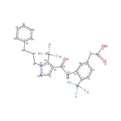 O=C(O)Cc1ccc(C(F)(F)F)c(NC(=O)c2cnn(CCCc3ccccc3)c2C(F)(F)F)c1